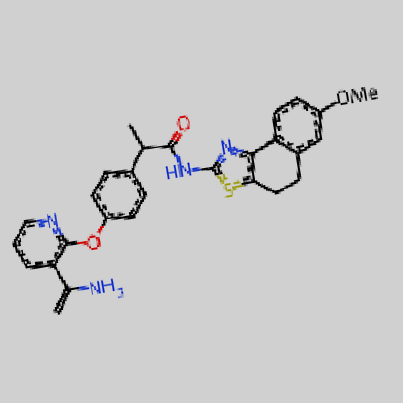 C=C(N)c1cccnc1Oc1ccc(C(C)C(=O)Nc2nc3c(s2)CCc2cc(OC)ccc2-3)cc1